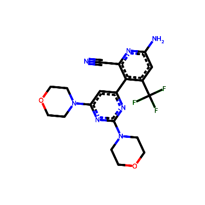 N#Cc1nc(N)cc(C(F)(F)F)c1-c1cc(N2CCOCC2)nc(N2CCOCC2)n1